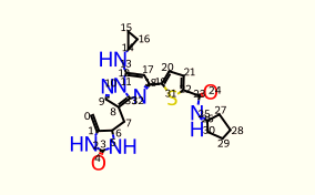 C=C1NC(=O)NC1Cc1cnn2c(NC3CC3)cc(-c3ccc(C(=O)NC4CCCC4)s3)nc12